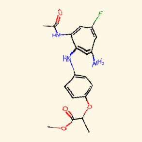 COC(=O)C(C)Oc1ccc(Nc2c(N)cc(F)cc2NC(C)=O)cc1